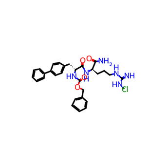 N=C(NCl)NCCC[C@@H](NC(=O)[C@@H](Cc1ccc(-c2ccccc2)cc1)NC(=O)OCc1ccccc1)C(N)=O